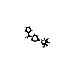 CC1(C)OB(C2=CCN(C(=O)C3CCCC3)CC2)OC1(C)C